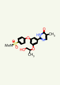 CNS(=O)(=O)c1ccc(Oc2cc(O[C@@H](C)CO)cc(-c3ncc(C)c(=O)[nH]3)c2)cc1